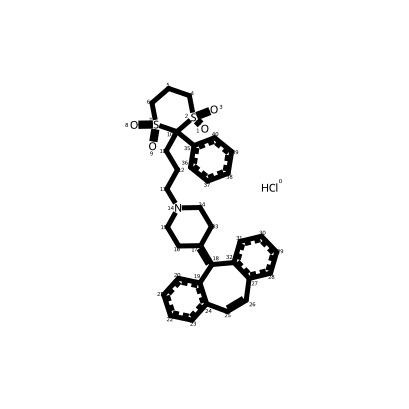 Cl.O=S1(=O)CCCS(=O)(=O)C1(CCCN1CCC(=C2c3ccccc3C=Cc3ccccc32)CC1)c1ccccc1